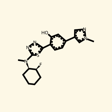 CN(c1nnc(-c2ccc(-c3cnn(C)c3)cc2O)s1)[C@@H]1CCCC[C@@H]1F